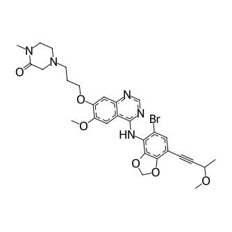 COc1cc2c(Nc3c(Br)cc(C#CC(C)OC)c4c3OCO4)ncnc2cc1OCCCN1CCN(C)C(=O)C1